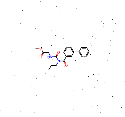 CCCN(C(=O)NCC(=O)OC)C(=O)c1cccc(-c2ccccc2)c1